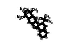 CN1C2(C)CCC1(C)c1cc3c(cc12)nc1c2ccccc2cc(C(C)(C)C)n31